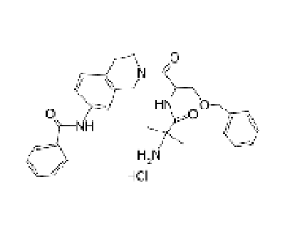 CC(C)(N)C(=O)NC(COCc1ccccc1)C(=O)N1CCc2ccc(NC(=O)c3ccccc3)cc2C1.Cl